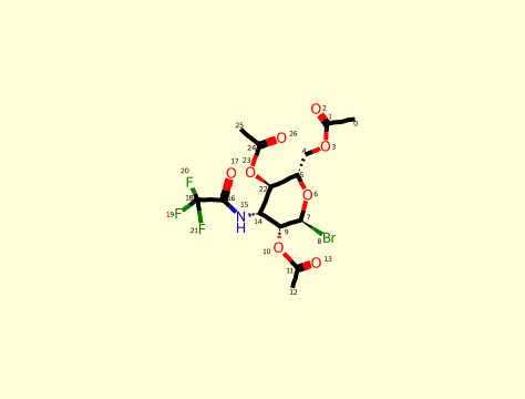 CC(=O)OC[C@@H]1O[C@@H](Br)[C@H](OC(C)=O)[C@H](NC(=O)C(F)(F)F)[C@H]1OC(C)=O